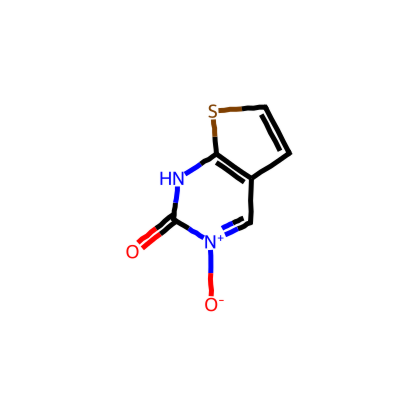 O=c1[nH]c2sccc2c[n+]1[O-]